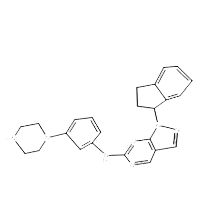 c1cc(Nc2ncc3cnn(C4CCc5ccccc54)c3n2)cc(N2CCNCC2)c1